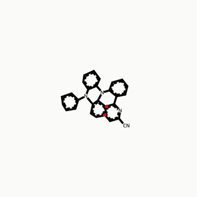 N#Cc1cccc(-c2ccccc2N2c3ccccc3N(c3ccccc3)c3ccccc32)n1